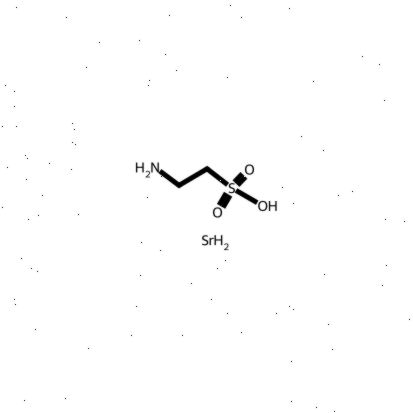 NCCS(=O)(=O)O.[SrH2]